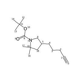 C#CCCCC1CN(C(=O)OC(C)(C)C)C(C)(C)C1